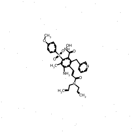 C=CCN(CC=C)C(=O)C=Cc1c(N)c(C)c(S(=O)(=O)c2ccc(OC)cc2)c(C(=O)NO)c1Cc1cccnc1